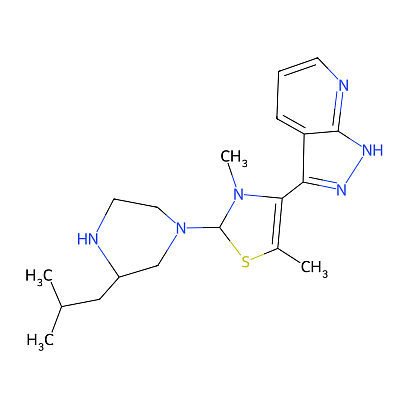 CC1=C(c2n[nH]c3ncccc23)N(C)C(N2CCNC(CC(C)C)C2)S1